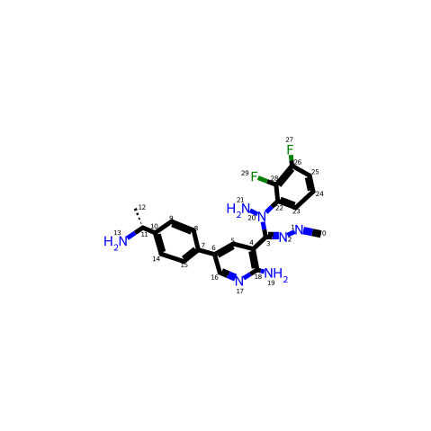 C=N/N=C(/c1cc(-c2ccc([C@@H](C)N)cc2)cnc1N)N(N)c1cccc(F)c1F